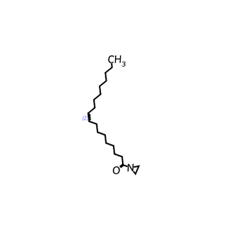 CCCCCCCC/C=C\CCCCCCCC(=O)N1CC1